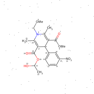 COCN1C(C)=C(C(=O)OC)C(c2cccc([N+](=O)[O-])c2)C(C(=O)OC(C)O)=C1C